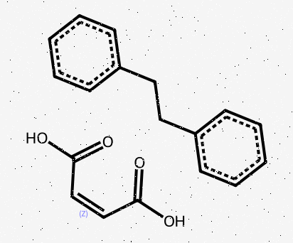 O=C(O)/C=C\C(=O)O.c1ccc(CCc2ccccc2)cc1